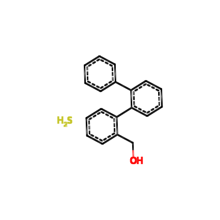 OCc1ccccc1-c1ccccc1-c1ccccc1.S